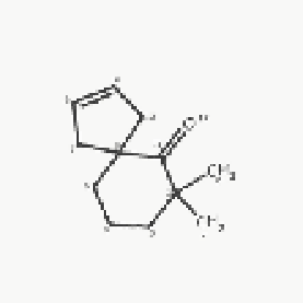 CC1(C)CCCC2(CC=CC2)C1=O